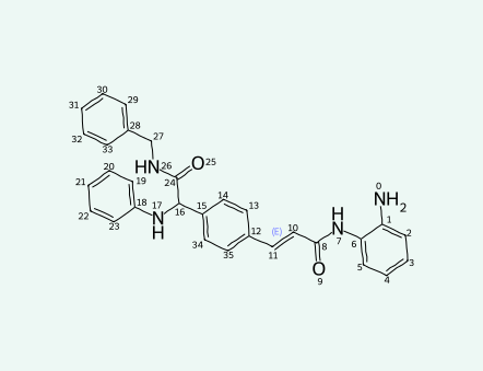 Nc1ccccc1NC(=O)/C=C/c1ccc(C(Nc2ccccc2)C(=O)NCc2ccccc2)cc1